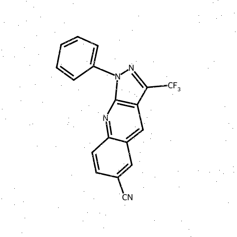 N#Cc1ccc2nc3c(cc2c1)c(C(F)(F)F)nn3-c1ccccc1